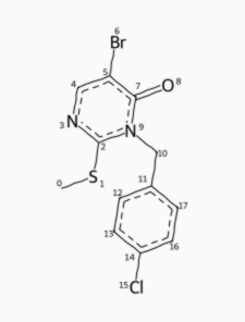 CSc1ncc(Br)c(=O)n1Cc1ccc(Cl)cc1